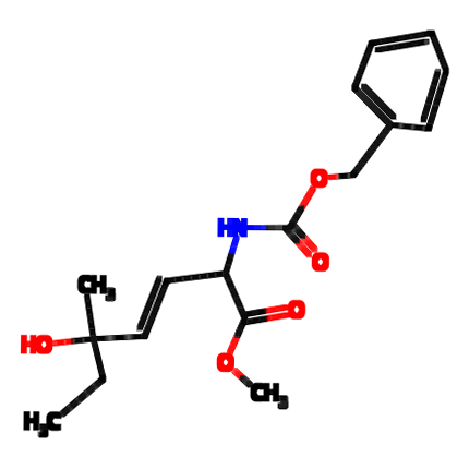 CCC(C)(O)/C=C/C(NC(=O)OCc1ccccc1)C(=O)OC